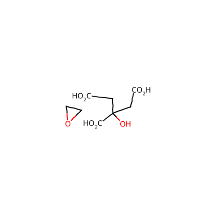 C1CO1.O=C(O)CC(O)(CC(=O)O)C(=O)O